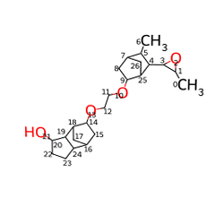 CC1OC1C1C(C)C2CC(OCCOC3CC4CC3C3C(O)CCC43)C1C2